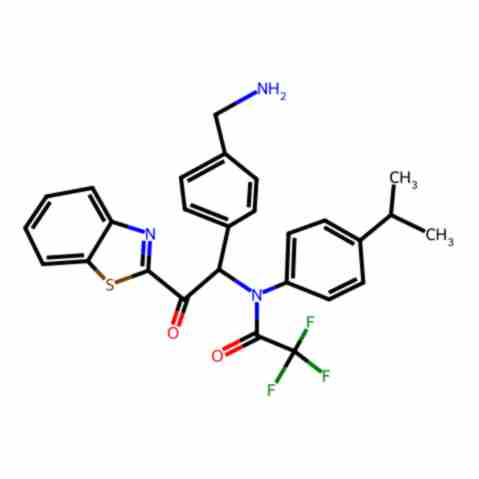 CC(C)c1ccc(N(C(=O)C(F)(F)F)C(C(=O)c2nc3ccccc3s2)c2ccc(CN)cc2)cc1